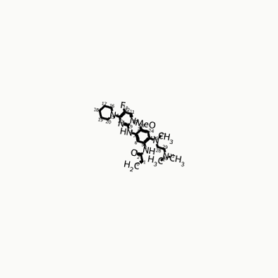 C=CC(=O)Nc1cc(Nc2ncc(F)c(N3CCCCC3)n2)c(OC)cc1N(C)CCN(C)C